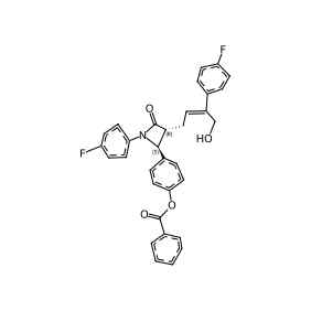 O=C(Oc1ccc([C@@H]2[C@@H](CC=C(CO)c3ccc(F)cc3)C(=O)N2c2ccc(F)cc2)cc1)c1ccccc1